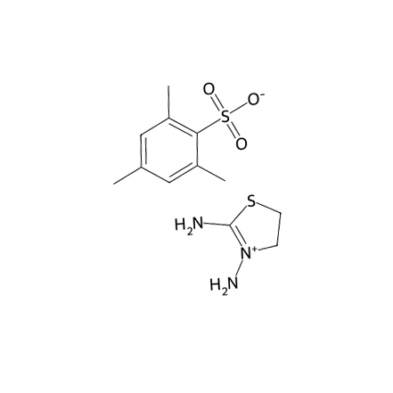 Cc1cc(C)c(S(=O)(=O)[O-])c(C)c1.NC1=[N+](N)CCS1